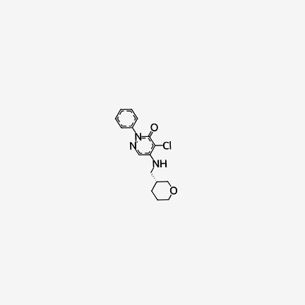 O=c1c(Cl)c(NC[C@H]2CCCOC2)cnn1-c1ccccc1